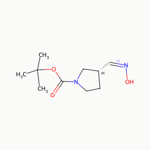 CC(C)(C)OC(=O)N1CC[C@@H](/C=N\O)C1